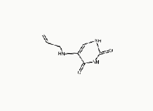 C=CCNc1c[nH]c(=O)[nH]c1=O